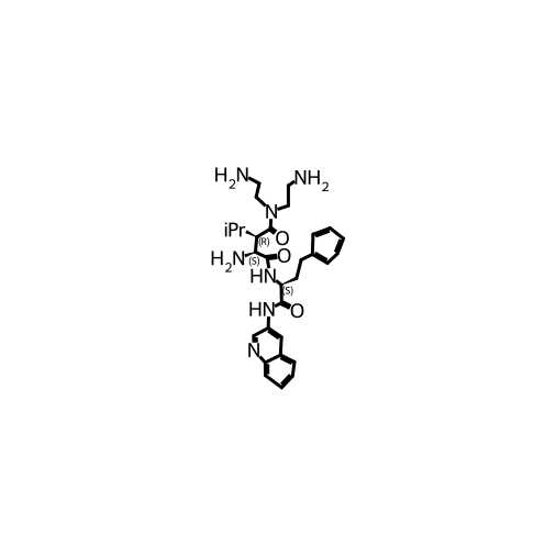 CC(C)[C@@H](C(=O)N(CCN)CCN)[C@H](N)C(=O)N[C@@H](CCc1ccccc1)C(=O)Nc1cnc2ccccc2c1